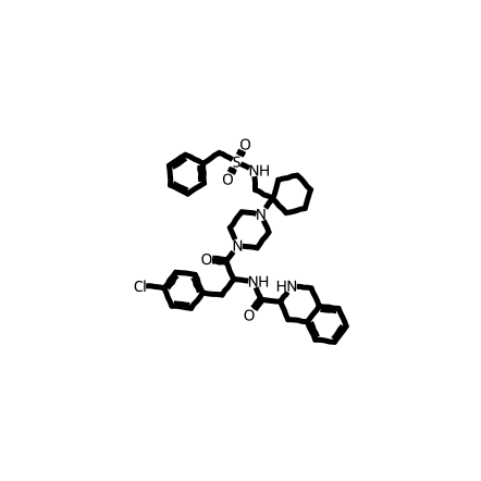 O=C(NC(Cc1ccc(Cl)cc1)C(=O)N1CCN(C2(CNS(=O)(=O)Cc3ccccc3)CCCCC2)CC1)C1Cc2ccccc2CN1